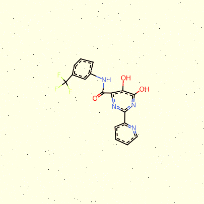 O=C(Nc1cccc(C(F)(F)F)c1)c1nc(-c2ccccn2)nc(O)c1O